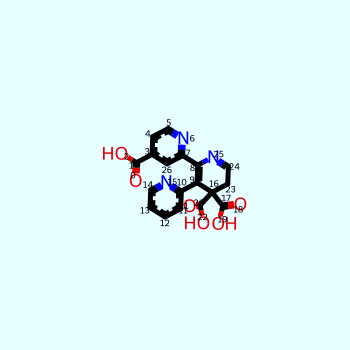 O=C(O)c1ccnc(C2=C(c3ccccn3)C(C(=O)O)(C(=O)O)CC=N2)c1